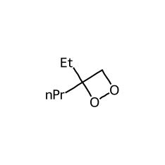 CCCC1(CC)COO1